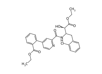 CCOC(=O)c1ccccc1-c1ccnc(C(=O)NC(Cc2ccccc2Cl)[C@@H](O)C(=O)OCC)c1